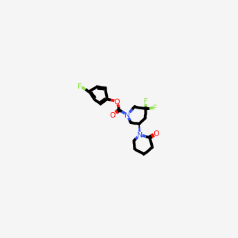 O=C(Oc1ccc(F)cc1)N1C[C@H](N2CCCCC2=O)CC(F)(F)C1